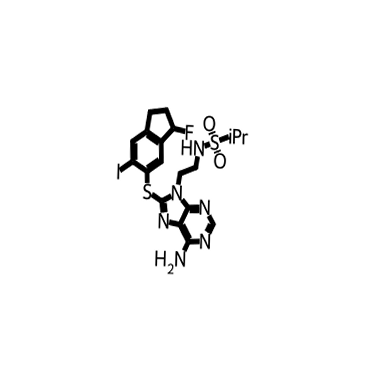 CC(C)S(=O)(=O)NCCn1c(Sc2cc3c(cc2I)CCC3F)nc2c(N)ncnc21